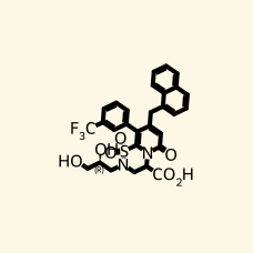 O=C(O)C1CN(C[C@@H](O)CO)S(=O)(=O)c2c(-c3cccc(C(F)(F)F)c3)c(Cc3cccc4ccccc34)cc(=O)n21